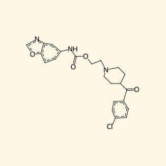 O=C(Nc1ccc2ocnc2c1)OCCN1CCC(C(=O)c2ccc(Cl)cc2)CC1